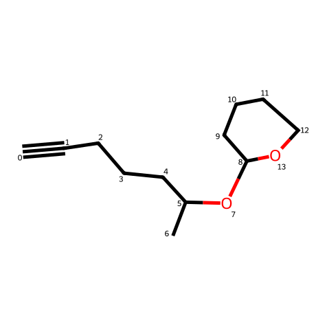 C#CCCCC(C)OC1CCCCO1